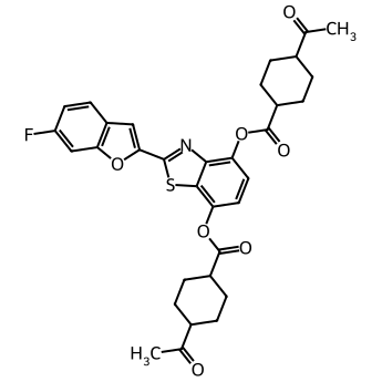 CC(=O)C1CCC(C(=O)Oc2ccc(OC(=O)C3CCC(C(C)=O)CC3)c3sc(-c4cc5ccc(F)cc5o4)nc23)CC1